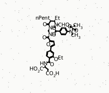 CCCCC[C@@H](C(=O)NCNC(=O)c1ccc(-c2ccc(C(=O)N[C@@H](CC(=O)O)C(=O)O)c(OCC)c2)o1)[C@@H](CC)N(C=O)OC(=O)c1ccc(N(C)S(C)(=O)=O)cc1